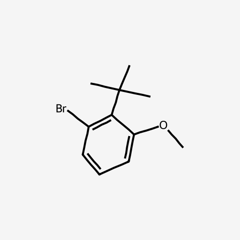 COc1cccc(Br)c1C(C)(C)C